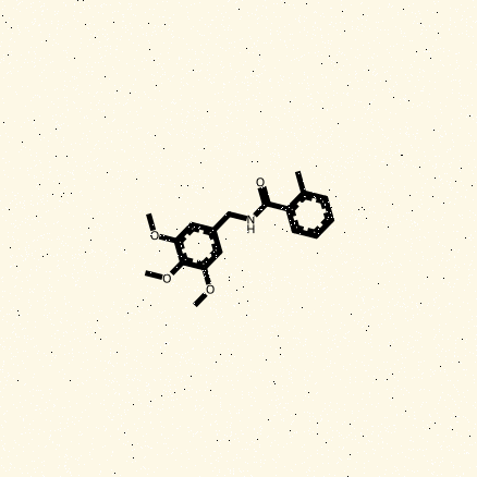 COc1cc(CNC(=O)c2ccccc2C)cc(OC)c1OC